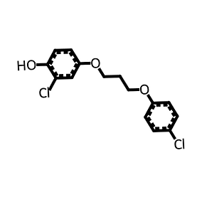 Oc1ccc(OCCCOc2ccc(Cl)cc2)cc1Cl